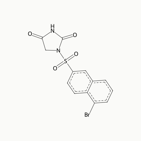 O=C1CN(S(=O)(=O)c2ccc3c(Br)cccc3c2)C(=O)N1